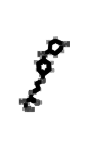 CC(C)(C)NC(=O)OCCOc1ccc(NC2CCNCC2)cc1